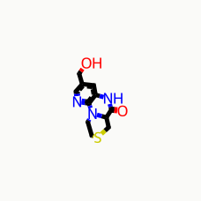 O=C1Nc2cc(CO)cnc2N2CCSCC12